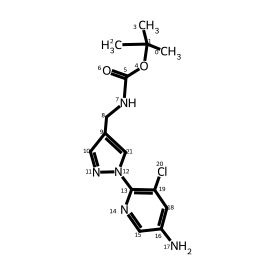 CC(C)(C)OC(=O)NCc1cnn(-c2ncc(N)cc2Cl)c1